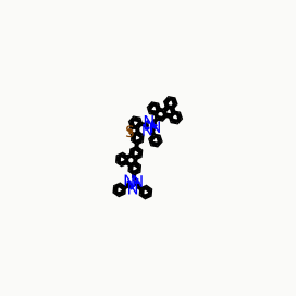 c1ccc(-c2nc(-c3ccccc3)nc(-c3ccc4c5ccc(-c6ccc7c(c6)sc6cccc(-c8nc(-c9ccccc9)nc(-c9cc%10c%11ccccc%11c%11ccccc%11c%10c%10ccccc9%10)n8)c67)cc5c5ccccc5c4c3)n2)cc1